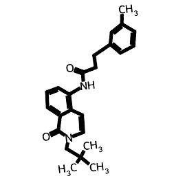 Cc1cccc(CCC(=O)Nc2cccc3c(=O)n(CC(C)(C)C)ccc23)c1